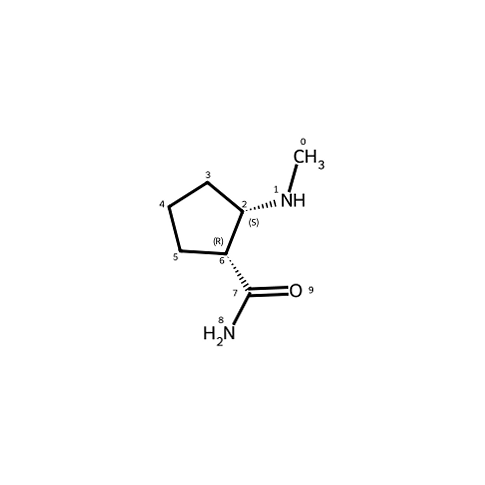 CN[C@H]1CCC[C@H]1C(N)=O